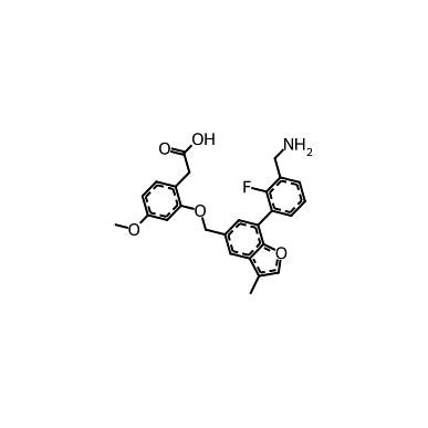 COc1ccc(CC(=O)O)c(OCc2cc(-c3cccc(CN)c3F)c3occ(C)c3c2)c1